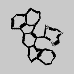 c1cc2c3c(cccc3c1)-c1c-2cc2ccc3ccccc3c2c1-c1ncncn1